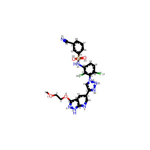 COCCOc1n[nH]c2ncc(-c3cn(-c4c(F)ccc(NS(=O)(=O)c5cccc(C#N)c5)c4F)nn3)cc12